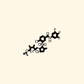 CC[C@](O)(C[C@@H]1CCC(C)C1S(=O)(=O)c1cc(C(=O)Nc2cc(F)c(F)c(F)c2)ccc1Cl)C(C)C(C)CON(C)C